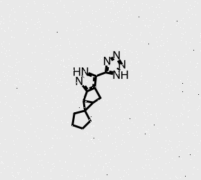 C1CCC2(C1)C1Cc3c(n[nH]c3-c3nnn[nH]3)C12